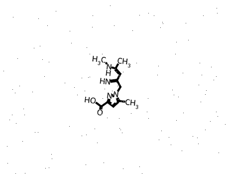 CN/C(C)=C\C(=N)Cn1nc(C(=O)O)cc1C